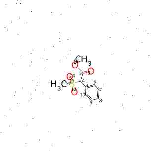 COC(=O)C(c1ccccc1)S(C)(=O)=O